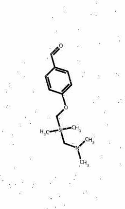 CN(C)C[Si](C)(C)COc1ccc(C=O)cc1